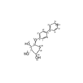 O[C@@H]1[C@@H](O)[C@@H](Oc2ccc(-c3ccncc3)cc2)SC[C@H]1O